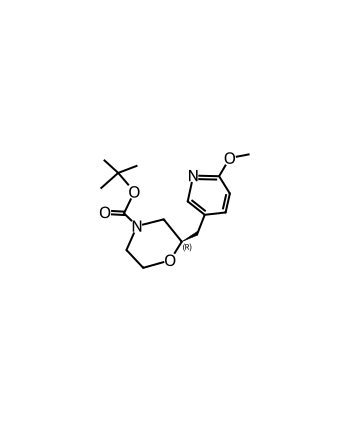 COc1ccc(C[C@@H]2CN(C(=O)OC(C)(C)C)CCO2)cn1